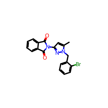 Cc1cc(N2C(=O)c3ccccc3C2=O)nn1Cc1ccccc1Br